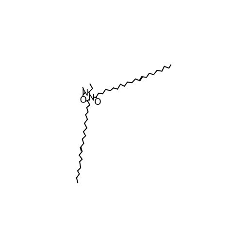 CCCCCCCCC=CCCCCCCCCCCCC(=O)N(C(=O)CCCCCCCCCCCC=CCCCCCCCC)C(CC)N(C)C